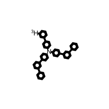 [3H]c1cccc(-c2ccc(N(c3ccc(-c4cccc(-c5ccccc5)c4)cc3)c3ccc(-c4cccc(-c5ccccc5)c4)cc3)cc2)c1